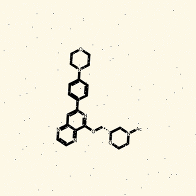 CC(=O)N1CCO[C@H](COc2nc(-c3ccc(N4CCOCC4)cc3)cc3nccnc23)C1